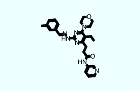 CCc1c(CCC(=O)Nc2cccnc2)nc(N/N=C/c2cccc(C)c2)nc1N1CCOCC1